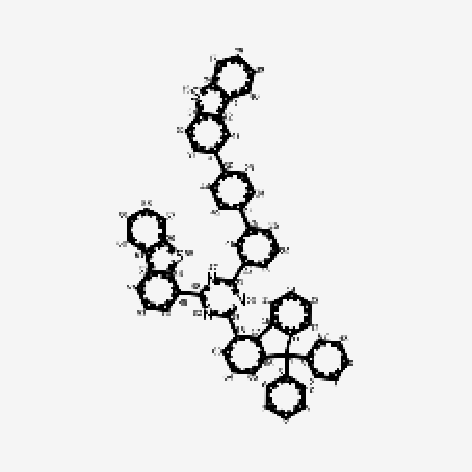 c1ccc(C2(c3ccccc3)c3ccccc3-c3c(-c4nc(-c5cccc(-c6ccc(-c7ccc8sc9ccccc9c8c7)cc6)c5)nc(-c5cccc6c5sc5ccccc56)n4)cccc32)cc1